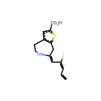 C=C/C=C(F)\C=C1/Cc2sc(C(=O)OCC)cc2CCN1